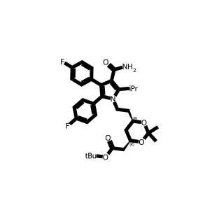 CC(C)c1c(C(N)=O)c(-c2ccc(F)cc2)c(-c2ccc(F)cc2)n1CC[C@@H]1C[C@H](CC(=O)OC(C)(C)C)OC(C)(C)O1